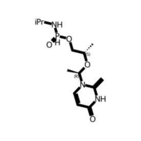 C=C1NC(=O)C=CN1[C@@H](C)O[C@@H](C)CO[PH](=O)NC(C)C